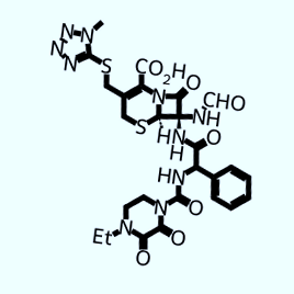 CCN1CCN(C(=O)NC(C(=O)N[C@]2(NC=O)C(=O)N3C(C(=O)O)=C(CSc4nnnn4C)CS[C@@H]32)c2ccccc2)C(=O)C1=O